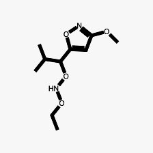 CCONOC(c1cc(OC)no1)C(C)C